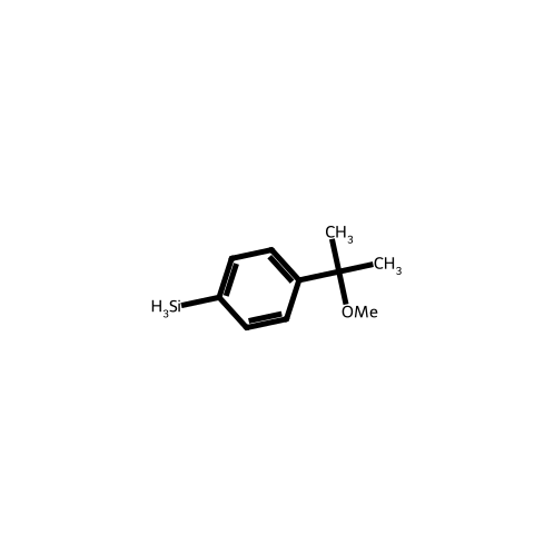 COC(C)(C)c1ccc([SiH3])cc1